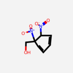 O=[N+]([O-])C1C=CC=CC1(CO)[N+](=O)[O-]